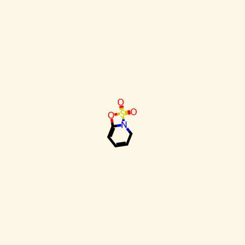 O=S1(=O)OC2=CC=CCN21